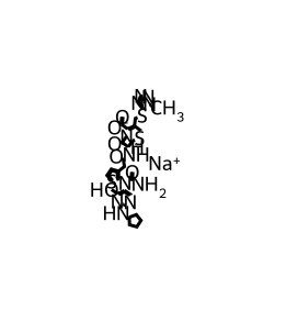 Cn1nnnc1SCC1=C(C(=O)[O-])N2C(=O)C(NC(=O)Cc3ccsc3N(C(N)=O)c3cnc(NC4CCCC4)nc3O)[C@@H]2SC1.[Na+]